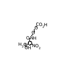 CB(O)c1cc(C(=O)NCCOCCOCC(=O)O)cc([N+](=O)[O-])c1